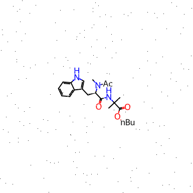 CCCCOC(=O)C(C)(C)NC(=O)[C@@H](Cc1c[nH]c2ccccc12)N(C)C(C)=O